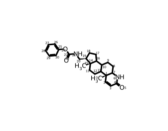 C[C@]12C=CC(=O)NC1CCC1C2CC[C@@]2(C)C1CC[C@@H]2CNC(=O)Oc1ccccc1